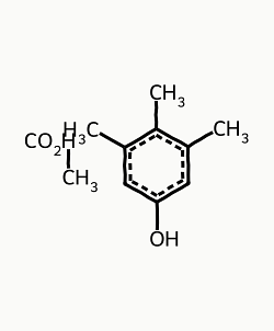 CC(=O)O.Cc1cc(O)cc(C)c1C